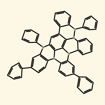 c1ccc(-c2ccc3c(c2)N(c2ccccc2)c2cc4c5c6c2B3c2ccc(-c3ccccc3)cc2N6c2ccccc2B5N(c2ccccc2)c2ccccc2-4)cc1